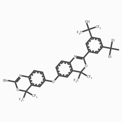 CCC(C)(CC)c1cc(C2=Nc3ccc(Oc4ccc5c(c4)C(C(F)(F)F)(C(F)(F)F)OC(C(C)(C)C)=N5)cc3C(C(F)(F)F)(C(F)(F)F)O2)cc(C(O)(C(F)(F)F)C(F)(F)F)c1